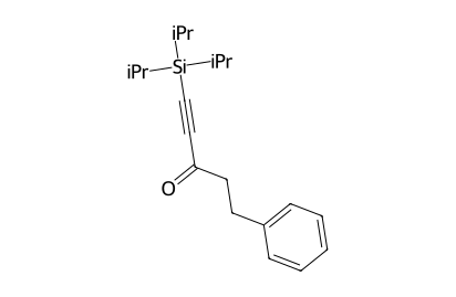 CC(C)[Si](C#CC(=O)CCc1ccccc1)(C(C)C)C(C)C